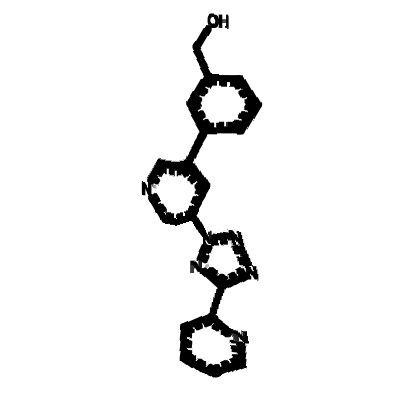 OCc1cccc(-c2cncc(-n3nnc(-c4ccccn4)n3)c2)c1